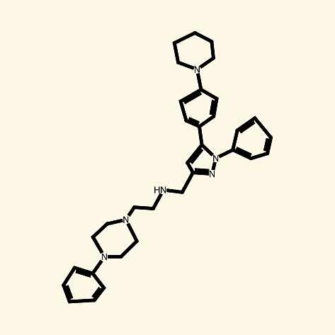 c1ccc(N2CCN(CCNCc3cc(-c4ccc(N5CCCCC5)cc4)n(-c4ccccc4)n3)CC2)cc1